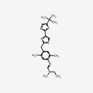 CCN(C)/C=N/c1cc(C)c(Cc2nc(-c3ncc(C(C)(C)C)s3)cs2)cc1C